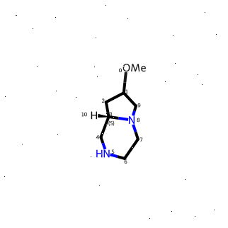 COC1C[C@H]2CNCCN2C1